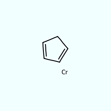 C1=CCC=C1.[Cr]